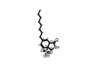 CCCCCCCCC1=CC2C(=O)NC(=O)C2(S(=O)(=O)O)C=C1